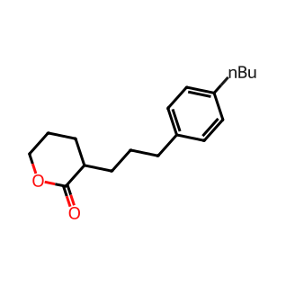 CCCCc1ccc(CCCC2CCCOC2=O)cc1